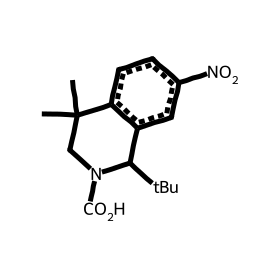 CC1(C)CN(C(=O)O)C(C(C)(C)C)c2cc([N+](=O)[O-])ccc21